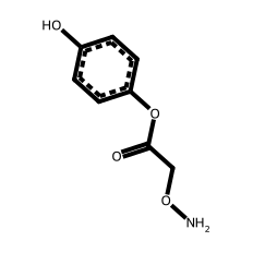 NOCC(=O)Oc1ccc(O)cc1